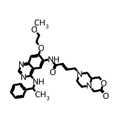 COCCOc1cc2ncnc(NC(C)c3ccccc3)c2cc1NC(=O)/C=C/CN1CCN2CC(=O)OCC2C1